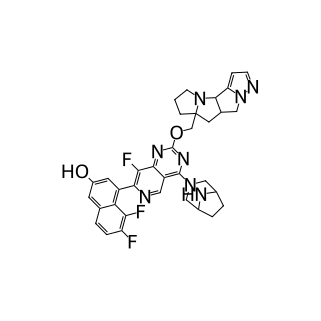 Oc1cc(-c2ncc3c(N4CC5CCC(C4)N5)nc(OCC45CCCN4C4c6ccnn6CC4C5)nc3c2F)c2c(F)c(F)ccc2c1